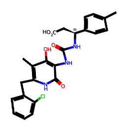 Cc1ccc([C@H](CC(=O)O)NC(=O)Nc2c(O)c(C)c(Cc3ccccc3Cl)[nH]c2=O)cc1